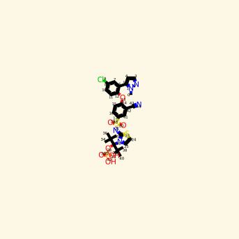 Cn1nccc1-c1cc(Cl)ccc1Oc1ccc(S(=O)(=O)/N=c2\sccn2C(OP(=O)(O)O)(C(C)(C)C)C(C)(C)C)cc1C#N